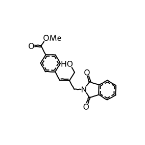 COC(=O)c1ccc(/C=C(\CO)CN2C(=O)c3ccccc3C2=O)cc1